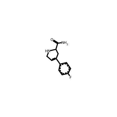 NC(=O)C1CC(c2ccc(F)cc2)=CCN1